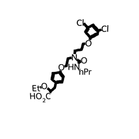 CCCNC(=O)N(CCCOc1cc(Cl)cc(Cl)c1)CCOc1ccc(CC(OCC)C(=O)O)cc1